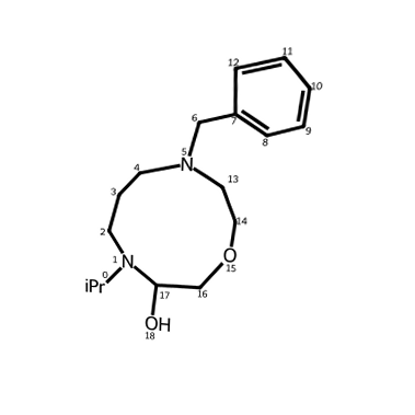 CC(C)N1CCCN(Cc2ccccc2)CCOCC1O